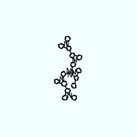 c1ccc(-c2ccc(-c3ccccc3)c(-c3nc(-c4ccc(-n5c6ccccc6c6cc(-c7ccc8c(c7)c7ccccc7n8-c7ccccc7)ccc65)cc4)nc(-c4cccc(-n5c6ccccc6c6cc(-c7ccc8c(c7)c7ccccc7n8-c7ccccc7)ccc65)c4)n3)c2)cc1